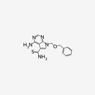 NC(=S)c1cn(COCc2ccccc2)c2ncnc(N)c12